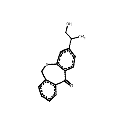 CC(CO)c1ccc2c(c1)SCc1ccccc1C2=O